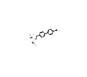 CC(CN(C(=O)O)C(C)(C)C)c1ccc(-c2ccc(C#N)cc2)cc1